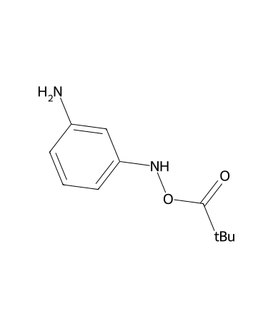 CC(C)(C)C(=O)ONc1cccc(N)c1